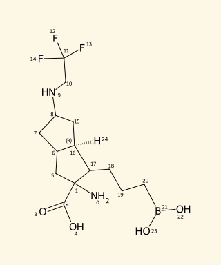 NC1(C(=O)O)CC2CC(NCC(F)(F)F)C[C@H]2C1CCCB(O)O